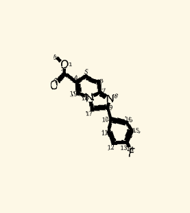 COC(=O)c1ccc2nc(-c3ccc(F)cc3)cn2c1